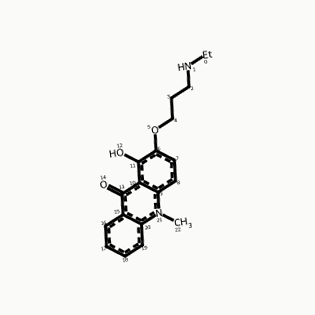 CCNCCCOc1ccc2c(c1O)c(=O)c1ccccc1n2C